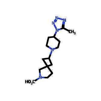 Cc1nnnn1C1CCN(C2CC3(CCN(C(=O)O)C3)C2)CC1